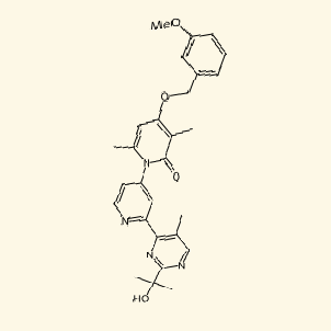 COc1cccc(COc2cc(C)n(-c3ccnc(-c4nc(C(C)(C)O)ncc4C)c3)c(=O)c2C)c1